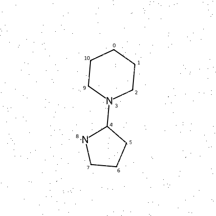 C1CCN(C2CCC[N]2)CC1